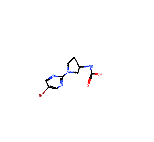 O=C(O)NC1CCN(c2ncc(Br)cn2)C1